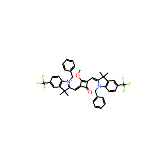 COC1=C(/C=C2\N(Cc3ccccc3)c3ccc(C(F)(F)F)cc3C2(C)C)C(=O)/C1=C/C1=[N+](Cc2ccccc2)c2ccc(C(F)(F)F)cc2C1(C)C